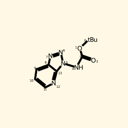 CC(C)(C)OC(=O)Nn1nnc2cccnc21